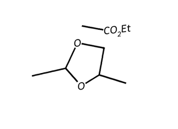 CC1COC(C)O1.CCOC(C)=O